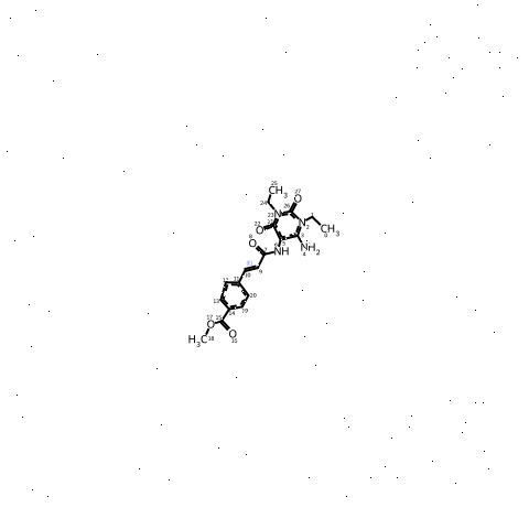 CCn1c(N)c(NC(=O)/C=C/c2ccc(C(=O)OC)cc2)c(=O)n(CC)c1=O